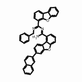 N/C(=N\C(=N/Cc1ccccc1)c1cccc2c1oc1ccccc12)c1cccc2oc3cc(-c4ccc5ccccc5c4)ccc3c12